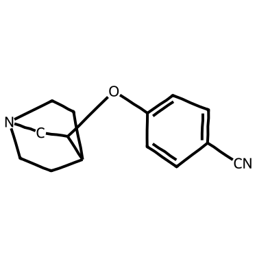 N#Cc1ccc(OC2CN3CCC2CC3)cc1